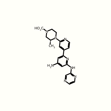 C[C@H]1CN(C(=O)O)CCN1c1cc(-c2cc(N)cc(Nc3cnccn3)n2)ccn1